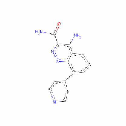 NC(=O)c1nnc2c(-c3ccncc3)cccc2c1N